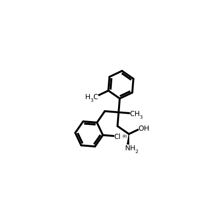 Cc1ccccc1C(C)(Cc1ccccc1Cl)C[C@H](N)O